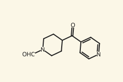 O=CN1CCC(C(=O)c2ccncc2)CC1